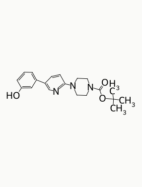 CC(C)(C)OC(=O)N1CCN(c2ccc(-c3cccc(O)c3)cn2)CC1